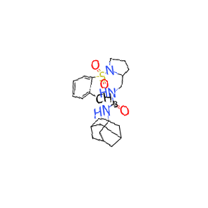 Cc1ccccc1S(=O)(=O)N1CCCC1CNC(=O)NC12CC3CC(CC(C3)C1)C2